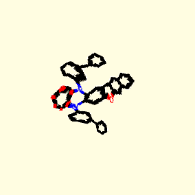 c1ccc(-c2cccc(N(c3ccccc3)c3cc4oc5cc6ccccc6cc5c4cc3N(c3ccccc3)c3cccc(-c4ccccc4)c3)c2)cc1